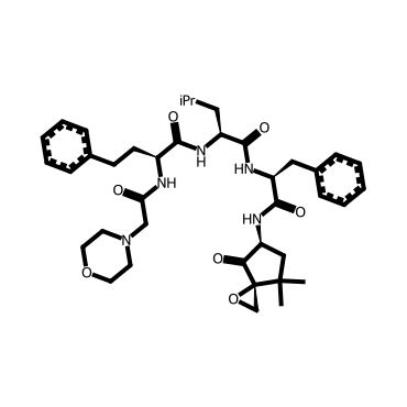 CC(C)C[C@H](NC(=O)[C@H](CCc1ccccc1)NC(=O)CN1CCOCC1)C(=O)N[C@@H](Cc1ccccc1)C(=O)N[C@H]1CC(C)(C)[C@@]2(CO2)C1=O